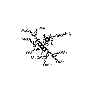 COCCOCC(COCCOC)OCC(COC(COCCOC)COCCOC)Oc1ccc2c(c1)c(C(=O)Oc1c(C)cc(C(=O)NCCOCCOCCN)cc1C)c1cc(OC(COC(COCCOC)COCCOC)COC(COCCOC)COCCOC)ccc1[n+]2CCCS(=O)(=O)O